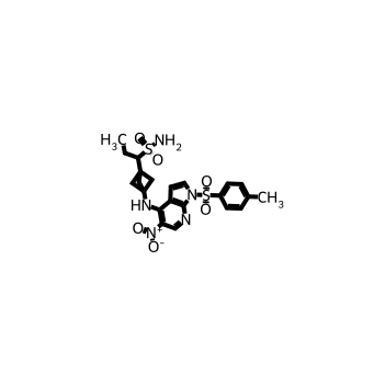 CCC(C12CC(Nc3c([N+](=O)[O-])cnc4c3ccn4S(=O)(=O)c3ccc(C)cc3)(C1)C2)S(N)(=O)=O